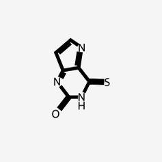 O=C1N=C2C=CN=C2C(=S)N1